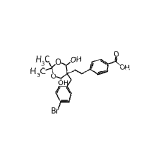 CC1(C)OC(O)C(CCc2ccc(C(=O)O)cc2)(Cc2ccc(Br)cc2)C(O)O1